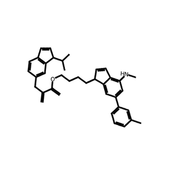 C=C(Cc1ccc2c(c1)C(C(C)C)C=C2)C(=C)OCCCCC1C=Cc2c(NC)cc(-c3cccc(C)c3)cc21